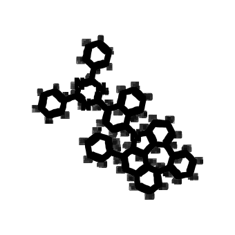 c1ccc(-c2nc(-c3ccccc3)nc(-c3ccc(-n4c5cccc6c5c5c7c(cccc7cc(-c7ccccc7)c54)-c4ccccc4-6)c4ccccc34)n2)cc1